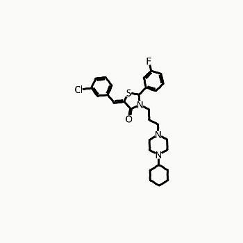 O=C1/C(=C/c2cccc(Cl)c2)SC(c2cccc(F)c2)N1CCCN1CCN(C2CCCCC2)CC1